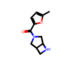 Cc1ccc(C(=O)N2CC3CNC3C2)o1